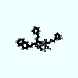 CN(C(=O)COC[C@H]1CCCN1)N(NC(CCc1ccccc1)C(=O)CCc1ccc2ccccc2c1)C(N)=O